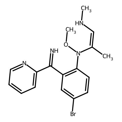 CN/C=C(/C)N(OC)c1ccc(Br)cc1C(=N)c1ccccn1